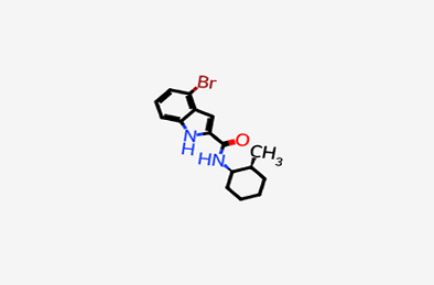 C[C@H]1CCCC[C@H]1NC(=O)c1cc2c(Br)cccc2[nH]1